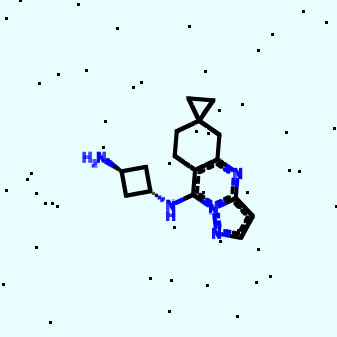 N[C@H]1C[C@H](Nc2c3c(nc4ccnn24)CC2(CC3)CC2)C1